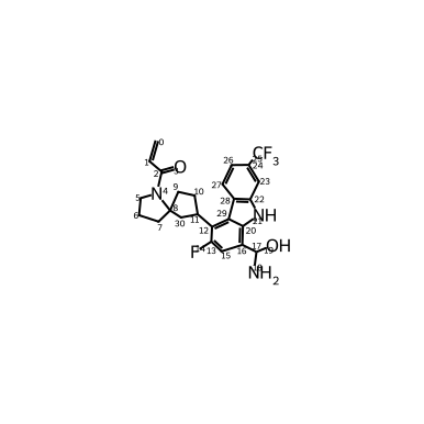 C=CC(=O)N1CCCC12CCC(c1c(F)cc(C(N)O)c3[nH]c4cc(C(F)(F)F)ccc4c13)C2